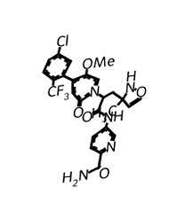 COc1cn(C(CC2(C)C=CON2)C(=O)Nc2ccc(C(N)=O)nc2)c(=O)cc1-c1cc(Cl)ccc1C(F)(F)F